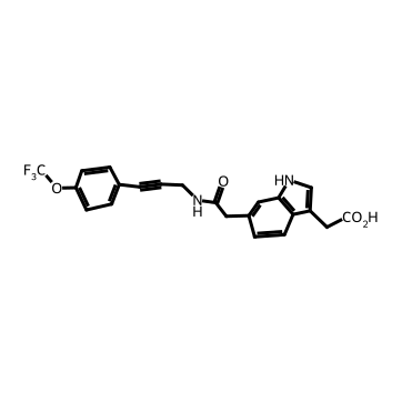 O=C(O)Cc1c[nH]c2cc(CC(=O)NCC#Cc3ccc(OC(F)(F)F)cc3)ccc12